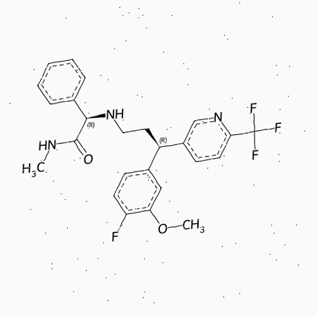 CNC(=O)[C@H](NCC[C@@H](c1ccc(C(F)(F)F)nc1)c1ccc(F)c(OC)c1)c1ccccc1